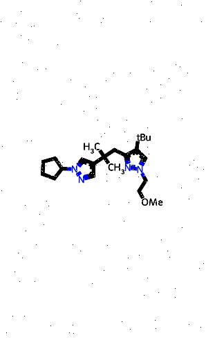 COCCn1cc(C(C)(C)C)c(CC(C)(C)c2cnn(C3CCCC3)c2)n1